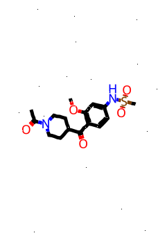 COc1cc(NS(C)(=O)=O)ccc1C(=O)C1CCN(C(C)=O)CC1